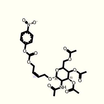 CC(=O)NC1[C@H](OC/C=C\COC(=O)Oc2ccc([N+](=O)[O-])cc2)OC(COC(C)=O)C(OC(C)=O)[C@H]1OC(C)=O